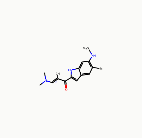 CCc1cc2cc(C(=O)/C(C#N)=C/N(C)C)[nH]c2cc1NSC